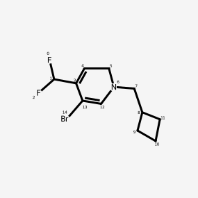 FC(F)C1=CCN(CC2CCC2)C=C1Br